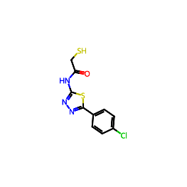 O=C(CS)Nc1nnc(-c2ccc(Cl)cc2)s1